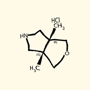 C[C@@]12CNC[C@]1(C)COC2.Cl